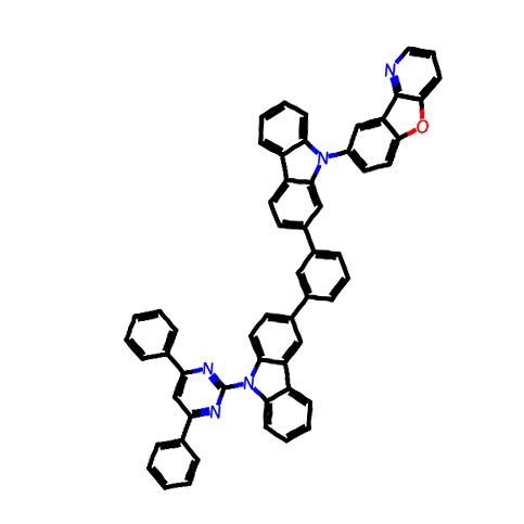 c1ccc(-c2cc(-c3ccccc3)nc(-n3c4ccccc4c4cc(-c5cccc(-c6ccc7c8ccccc8n(-c8ccc9oc%10cccnc%10c9c8)c7c6)c5)ccc43)n2)cc1